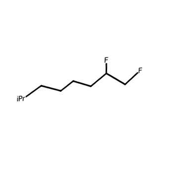 CC(C)CCCCC(F)CF